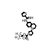 CC(C)(C)OC(=O)N1CCC(N2CCCc3cc(NC(=N)C4CC=CS4)ccc32)C1